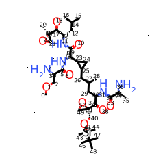 COC[C@H](N)C(=O)N[C@H](C(=O)N[C@@H](CC(C)C)C(=O)[C@@]1(C)CO1)C1CC1CC(C)CC(NC(=O)[C@H](C)N)C(=O)[C@@]1(CO[Si](C)(C)C(C)(C)C)CO1